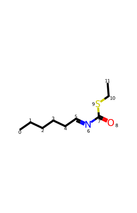 CCCCCC=NC(=O)SCC